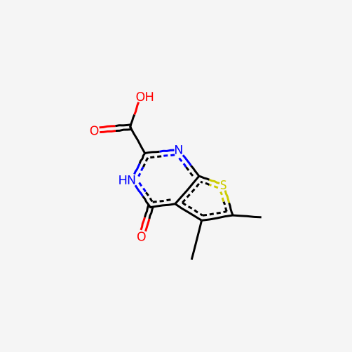 Cc1sc2nc(C(=O)O)[nH]c(=O)c2c1C